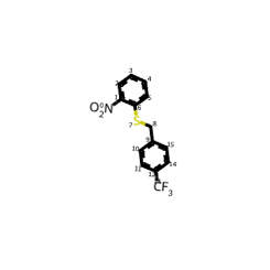 O=[N+]([O-])c1ccccc1SCc1ccc(C(F)(F)F)cc1